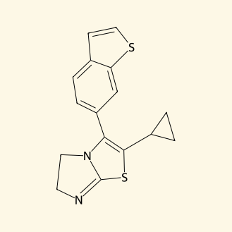 c1cc2ccc(C3=C(C4CC4)SC4=NCCN43)cc2s1